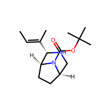 CC=C(C)[C@@H]1NC[C@H]2CC[C@@H]1N2C(=O)OC(C)(C)C